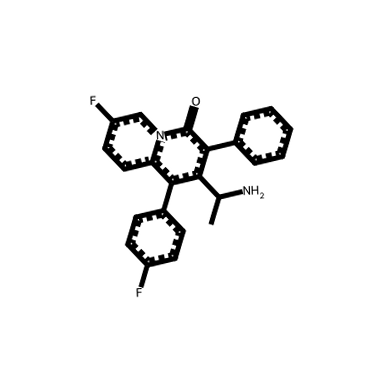 CC(N)c1c(-c2ccccc2)c(=O)n2cc(F)ccc2c1-c1ccc(F)cc1